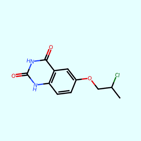 CC(Cl)COc1ccc2[nH]c(=O)[nH]c(=O)c2c1